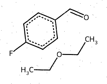 CCOCC.O=Cc1ccc(F)cc1